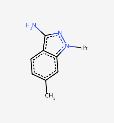 Cc1ccc2c(N)nn(C(C)C)c2c1